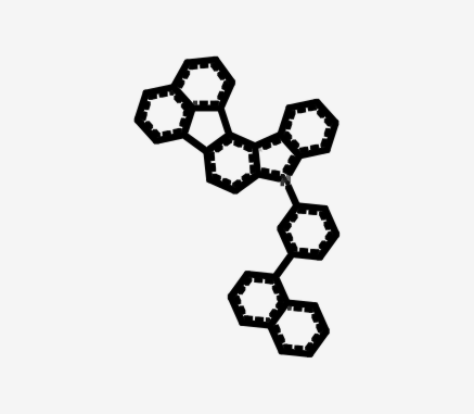 c1cc(-c2cccc3ccccc23)cc(-n2c3ccccc3c3c4c(ccc32)-c2cccc3cccc-4c23)c1